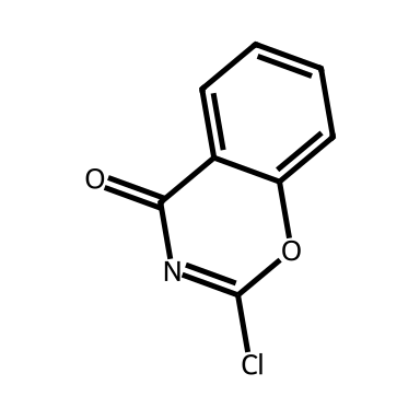 O=c1nc(Cl)oc2ccccc12